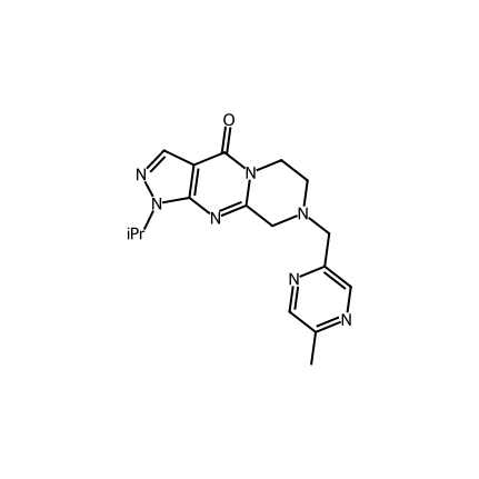 Cc1cnc(CN2CCn3c(nc4c(cnn4C(C)C)c3=O)C2)cn1